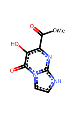 COC(=O)c1nc2[nH]ccn2c(=O)c1O